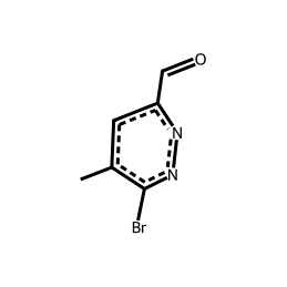 Cc1cc(C=O)nnc1Br